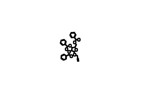 C#CCOC1OC(COC(=O)c2ccccc2)C(OC(=O)c2ccccc2)C1OC(=O)c1ccccc1